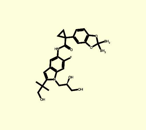 BC1(B)Oc2ccc(C3(C(=O)Nc4cc5cc(C(C)(C)CO)n(C[C@@H](O)CO)c5cc4F)CC3)cc2O1